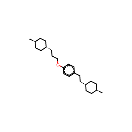 C[C@H]1CC[C@H](CCCOc2ccc(CC[C@H]3CC[C@H](C)CC3)cc2)CC1